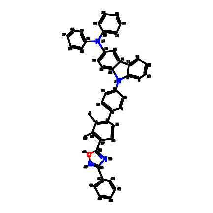 Cc1c(-c2ccc(-n3c4ccccc4c4cc(N(c5ccccc5)c5ccccc5)ccc43)cc2)ccc(-c2nc(-c3ccccc3)no2)c1C